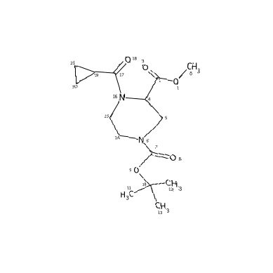 COC(=O)C1CN(C(=O)OC(C)(C)C)CCN1C(=O)C1CC1